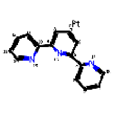 [Pt].c1ccc(-c2cccc(-c3ccccn3)n2)nc1